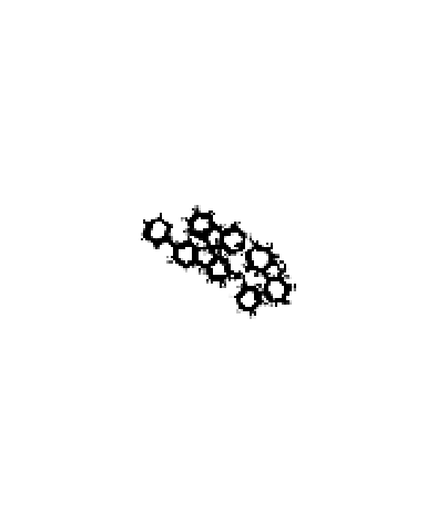 C1=CCCC(C2=CC3=C(CC2)c2ccc(N(C4=CCCC=C4)C4=CC=CC5OC6CCC=CC6C45)cc2C32C3=CCCC=C3c3ccccc32)=C1